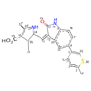 CC1=C=C(C)C(c2ccc3c(c2)/C(=C/C2NC(C)=C(C(=O)O)C2C)C(=O)N3)=CS1